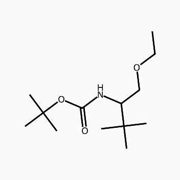 CCOCC(NC(=O)OC(C)(C)C)C(C)(C)C